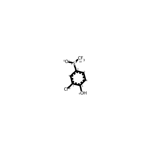 [O-][S+](c1ccc(O)c(Cl)c1)C(F)(F)F